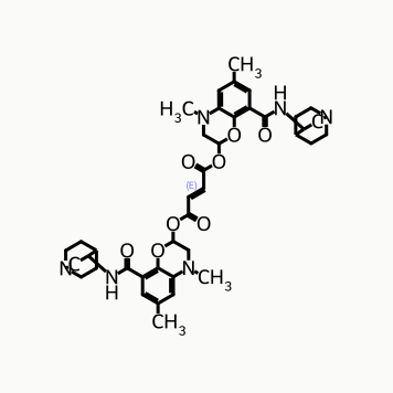 Cc1cc(C(=O)NC2CN3CCC2CC3)c2c(c1)N(C)CC(OC(=O)/C=C/C(=O)OC1CN(C)c3cc(C)cc(C(=O)NC4CN5CCC4CC5)c3O1)O2